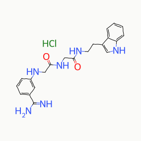 Cl.N=C(N)c1cccc(NCC(=O)NCC(=O)NCCc2c[nH]c3ccccc23)c1